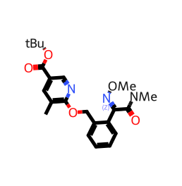 CNC(=O)/C(=N\OC)c1ccccc1COc1ncc(C(=O)OC(C)(C)C)cc1C